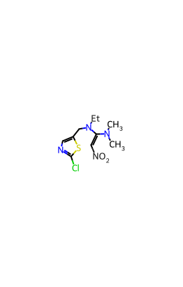 CCN(Cc1cnc(Cl)s1)C(=C[N+](=O)[O-])N(C)C